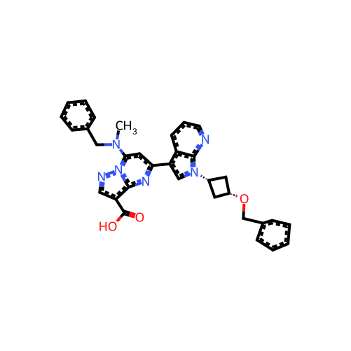 CN(Cc1ccccc1)c1cc(-c2cn([C@H]3C[C@@H](OCc4ccccc4)C3)c3ncccc23)nc2c(C(=O)O)cnn12